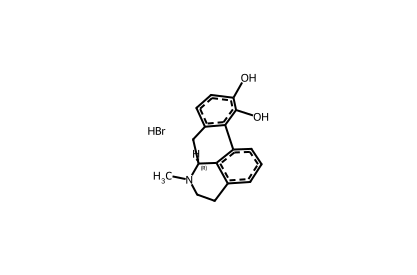 Br.CN1CCc2cccc3c2[C@H]1Cc1ccc(O)c(O)c1-3